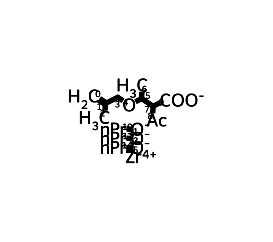 C=C(C)COC(C)C(C(C)=O)C(=O)[O-].CCC[O-].CCC[O-].CCC[O-].[Zr+4]